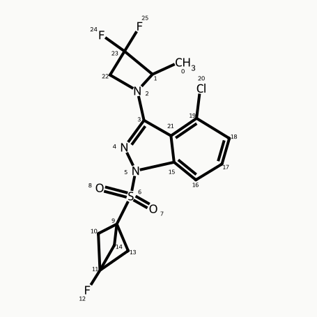 CC1N(c2nn(S(=O)(=O)C34CC(F)(C3)C4)c3cccc(Cl)c23)CC1(F)F